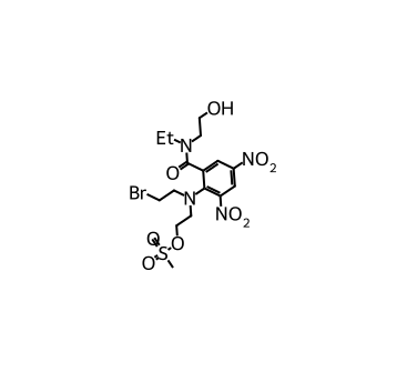 CCN(CCO)C(=O)c1cc([N+](=O)[O-])cc([N+](=O)[O-])c1N(CCBr)CCOS(C)(=O)=O